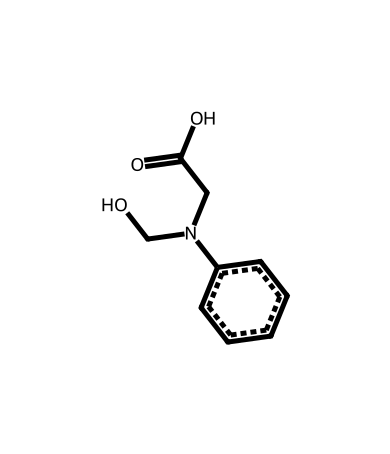 O=C(O)CN(CO)c1ccccc1